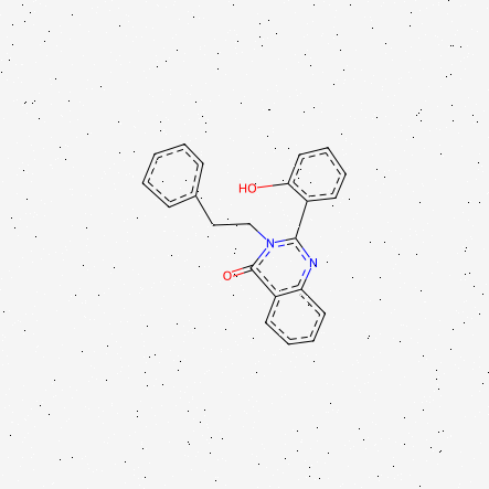 O=c1c2ccccc2nc(-c2ccccc2O)n1CCc1ccccc1